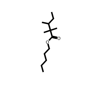 CCCCCOC(=O)C(C)(C)C(C)CC